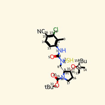 Cc1c(NC(=O)N(S)C[C@@H]2[C@H](O[Si](C)(C)C(C)(C)C)CCN2C(=O)OC(C)(C)C)ccc(C#N)c1Cl